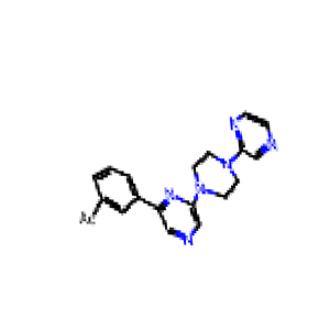 CC(=O)c1cccc(-c2cncc(N3CCN(c4cnccn4)CC3)n2)c1